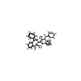 CN1C(=O)C(N(Cc2nnn[nH]2)C(=O)CCC2CCCCC2)N=C(c2ccccc2)c2ccccc21